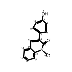 CCn1c(=O)c(-c2ccc(O)cc2)cc2ccccc21